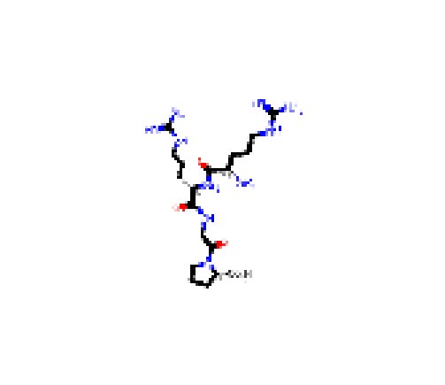 N=C(N)NCCC[C@H](NC(=O)[C@@H](N)CCCNC(=N)N)C(=O)NCC(=O)N1CCC[C@H]1C(=O)O